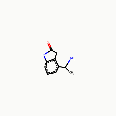 CC(N)c1cccc2c1CC(=O)N2